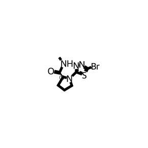 CNC(=O)[C@@H]1CCCN1c1nnc(Br)s1